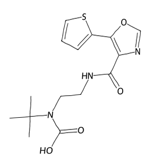 CC(C)(C)N(CCNC(=O)c1ncoc1-c1cccs1)C(=O)O